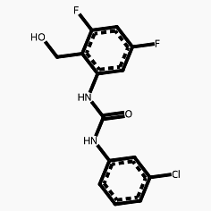 O=C(Nc1cccc(Cl)c1)Nc1cc(F)cc(F)c1CO